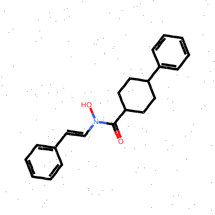 O=C(C1CCC(c2ccccc2)CC1)N(O)C=Cc1ccccc1